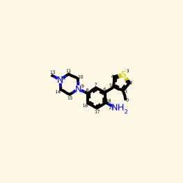 Cc1cscc1-c1cc(N2CCN(C)CC2)ccc1N